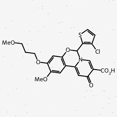 COCCCOc1cc2c(cc1OC)-c1cc(=O)c(C(=O)O)cn1C(c1sccc1Cl)O2